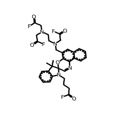 CC1(C)c2ccccc2N(CCCC(=O)F)C12C=Nc1c(c(CN(CCN(CC(=O)F)CC(=O)F)CC(=O)F)cc3ccccc13)O2